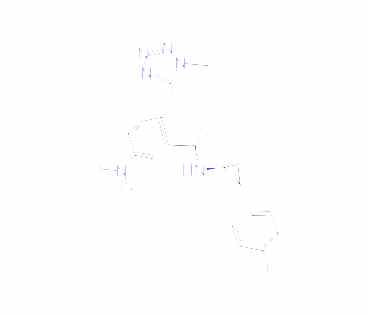 Cn1nnnc1Sc1ccc([N+](=O)[O-])cc1C(=O)N[C@H]1C[C@@H]1c1ccc(F)cc1